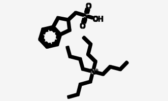 CCCC[N+](CCCC)(CCCC)CCCC.O=S(=O)(O)CC1Cc2ccccc2C1